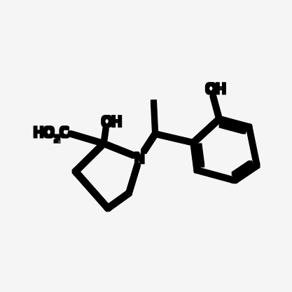 CC(c1ccccc1O)N1CCCC1(O)C(=O)O